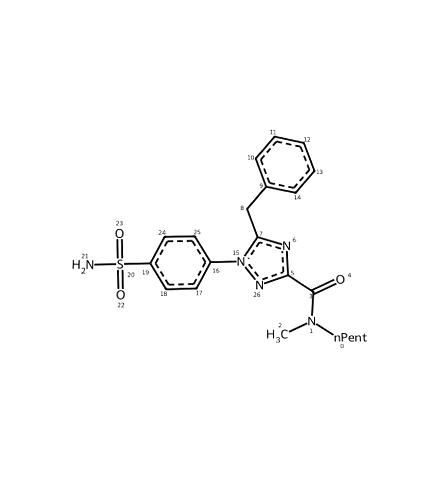 CCCCCN(C)C(=O)c1nc(Cc2ccccc2)n(-c2ccc(S(N)(=O)=O)cc2)n1